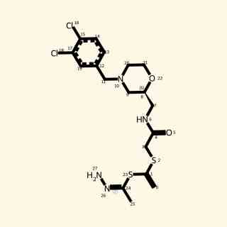 C=C(SCC(=O)NC[C@H]1CN(Cc2ccc(Cl)c(Cl)c2)CCO1)S/C(C)=N\N